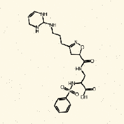 O=C(O)C(CNC(=O)C1CC(CCCNC2NC=CCN2)=NO1)NS(=O)(=O)c1ccccc1